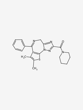 Cc1sc2c(c1C)C(c1ccccc1)=NCc1nc(C(=O)N3CCCCC3)nn1-2